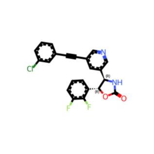 O=C1N[C@H](c2cncc(C#Cc3cccc(Cl)c3)c2)[C@@H](c2cccc(F)c2F)O1